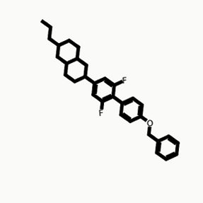 CCCC1CCC2CC(c3cc(F)c(-c4ccc(OCc5ccccc5)cc4)c(F)c3)CCC2C1